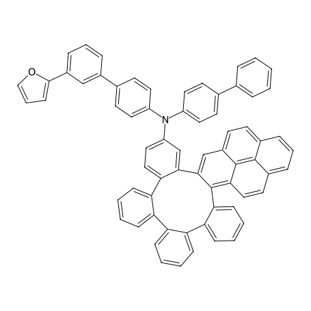 c1ccc(-c2ccc(N(c3ccc(-c4cccc(-c5ccco5)c4)cc3)c3ccc4c5ccccc5c5ccccc5c5ccccc5c5c(cc6ccc7cccc8ccc5c6c78)c4c3)cc2)cc1